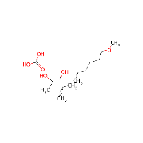 C=CC.CC(O)CO.CCCCCCOC.O=C(O)O